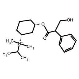 CC(C)[N+](C)(C)[C@@H]1CCC[C@H](OC(=O)C(CO)c2ccccc2)C1